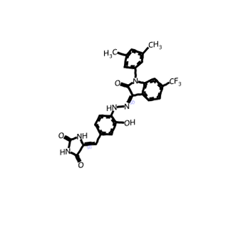 Cc1cc(C)cc(N2C(=O)/C(=N\Nc3ccc(/C=C4\NC(=O)NC4=O)cc3O)c3ccc(C(F)(F)F)cc32)c1